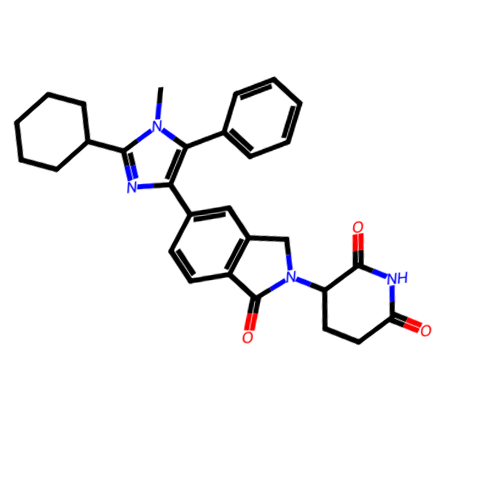 Cn1c(C2CCCCC2)nc(-c2ccc3c(c2)CN(C2CCC(=O)NC2=O)C3=O)c1-c1ccccc1